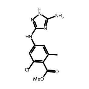 COC(=O)c1c(Cl)cc(Nc2n[nH]c(N)n2)cc1I